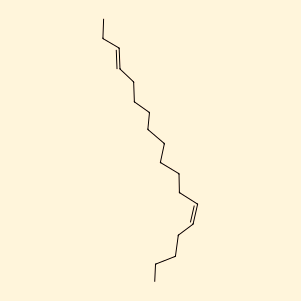 CC/C=C/CCCCCCCC/C=C\CCCC